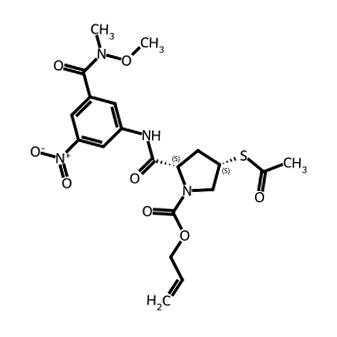 C=CCOC(=O)N1C[C@@H](SC(C)=O)C[C@H]1C(=O)Nc1cc(C(=O)N(C)OC)cc([N+](=O)[O-])c1